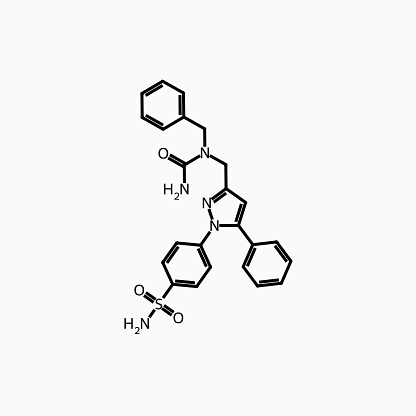 NC(=O)N(Cc1ccccc1)Cc1cc(-c2ccccc2)n(-c2ccc(S(N)(=O)=O)cc2)n1